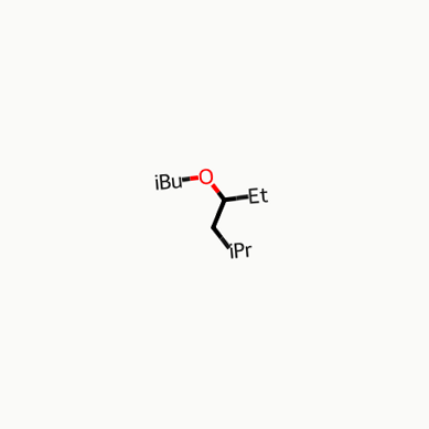 [CH2]CC(C)OC(CC)CC(C)C